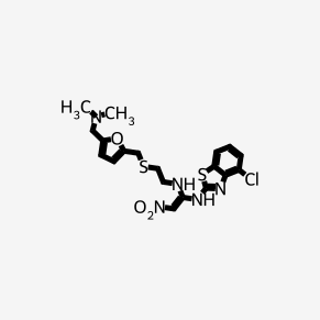 CN(C)Cc1ccc(CSCCNC(=C[N+](=O)[O-])Nc2nc3c(Cl)cccc3s2)o1